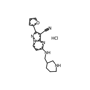 Cl.N#Cc1c(-c2ccco2)nn2ccc(NCC3CCCNC3)nc12